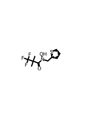 CC(C)(C(=O)N(O)Cc1cccs1)C(F)(F)F